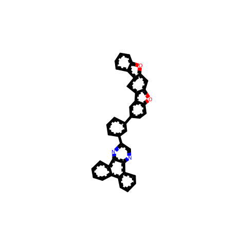 c1cc(-c2ccc3oc4cc5oc6ccccc6c5cc4c3c2)cc(-c2cnc3c4ccccc4c4ccccc4c3n2)c1